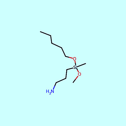 CCCCCO[Si](C)(CCCN)OC